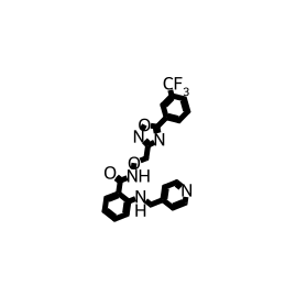 O=C(NOCc1noc(-c2cccc(C(F)(F)F)c2)n1)c1ccccc1NCc1ccncc1